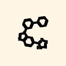 c1ccc(-c2cccc(-n3cnc4ccc(-c5nnn[nH]5)cc43)c2)cc1